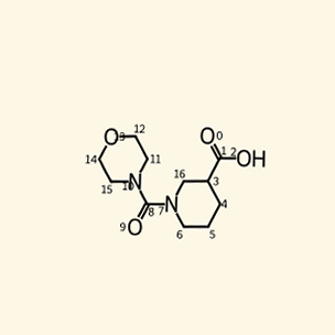 O=C(O)C1CCCN(C(=O)N2CCOCC2)C1